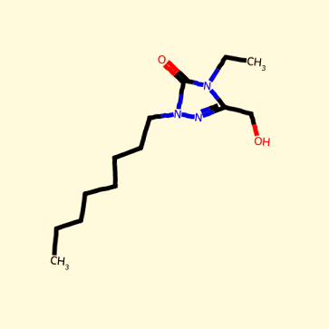 CCCCCCCCn1nc(CO)n(CC)c1=O